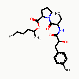 CC(C)CCCC(C)OC(=O)C1CCCN1C(=O)C(CC#N)NC(=O)C(O)Cc1ccc(N=O)cc1